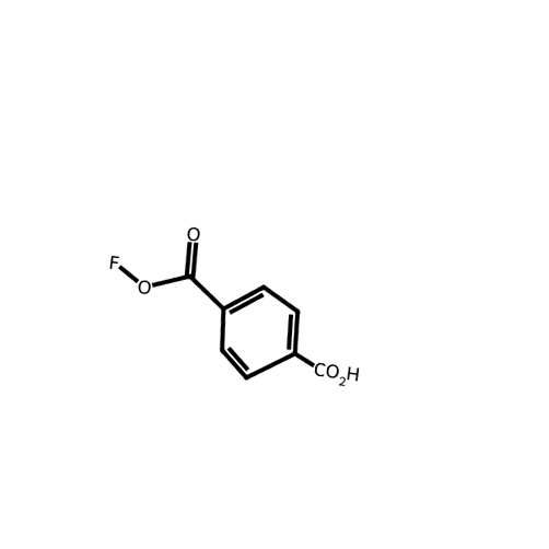 O=C(O)c1ccc(C(=O)OF)cc1